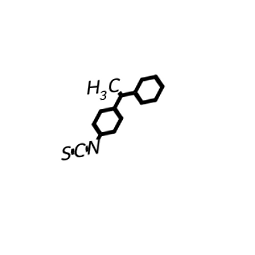 CC(C1CCCCC1)C1CCC(N=C=S)CC1